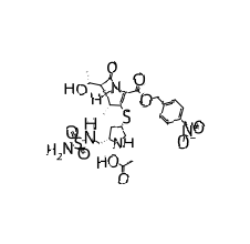 CC(=O)O.C[C@@H](O)[C@H]1C(=O)N2C(C(=O)OCc3ccc([N+](=O)[O-])cc3)=C(S[C@@H]3CN[C@H](CNS(N)(=O)=O)C3)[C@H](C)[C@H]12